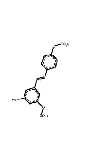 O=S(=O)(O)Oc1ccc(/C=C/c2cc(O)cc(OS(=O)(=O)O)c2)cc1